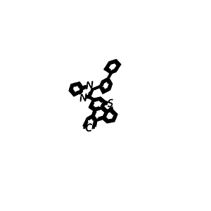 c1ccc(-c2cccc(-c3nc4ccccc4nc3-c3cc4sc5cccc6c7ccccc7c(c3)c4c56)c2)cc1